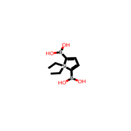 CC[Si]1(CC)C(B(O)O)=CC=C1B(O)O